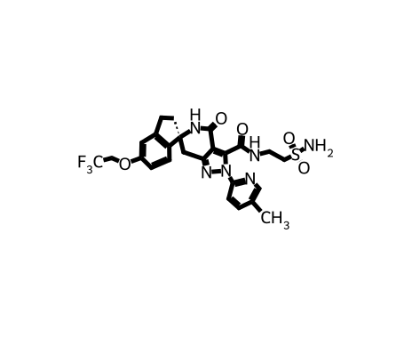 Cc1ccc(-n2nc3c(c2C(=O)NCCS(N)(=O)=O)C(=O)N[C@@]2(CCc4cc(OCC(F)(F)F)ccc42)C3)nc1